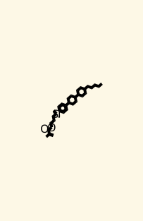 C=C(C)C(=O)OCCC[Si](C)(C)c1ccc(C2CCC(C3CCC(CCCCC)CC3)CC2)cc1